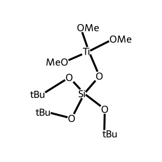 C[O][Ti]([O]C)([O]C)[O][Si](OC(C)(C)C)(OC(C)(C)C)OC(C)(C)C